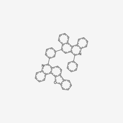 c1ccc(-c2nc3ccccc3c3c2cc(-c2cccc(-c4nc5ccccc5c5c4ccc4c6ccccc6oc45)c2)c2ccccc23)cc1